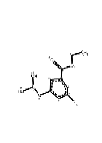 CCOC(=O)c1cc(F)cc(OB(O)O)c1